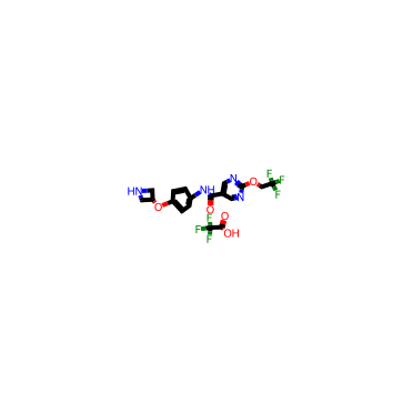 O=C(Nc1ccc(OC2CNC2)cc1)c1cnc(OCC(F)(F)F)nc1.O=C(O)C(F)(F)F